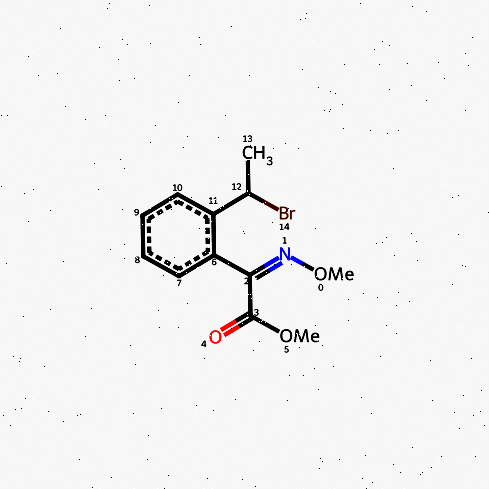 CON=C(C(=O)OC)c1ccccc1C(C)Br